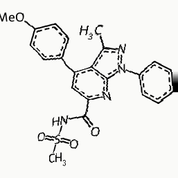 COc1ccc(-c2cc(C(=O)NS(C)(=O)=O)nc3c2c(C)nn3-c2ccccc2)cc1